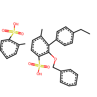 CCc1ccc(-c2c(C)ccc(S(=O)(=O)O)c2OCc2ccccc2)cc1.Cc1ccccc1S(=O)(=O)O